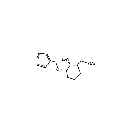 CC(=O)OCC1CCC[C@H](OCc2ccccc2)[C@H]1OC(C)=O